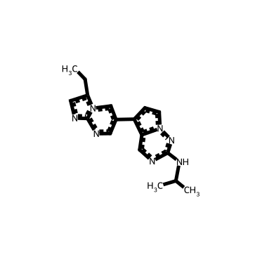 CCc1cnc2ncc(-c3ccn4nc(NC(C)C)ncc34)cn12